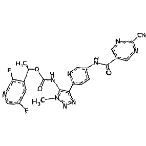 C[C@@H](OC(=O)Nc1c(-c2ccc(NC(=O)c3cnc(C#N)nc3)cn2)nnn1C)c1cc(F)cnc1F